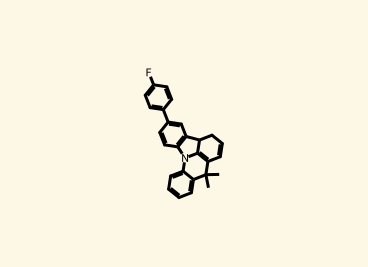 CC1(C)C2=C3C(CC=C2)c2cc(-c4ccc(F)cc4)ccc2N3c2ccccc21